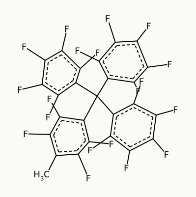 Cc1c(F)c(F)c(C(c2c(F)c(F)c(F)c(F)c2F)(c2c(F)c(F)c(F)c(F)c2F)c2c(F)c(F)c(F)c(F)c2F)c(F)c1F